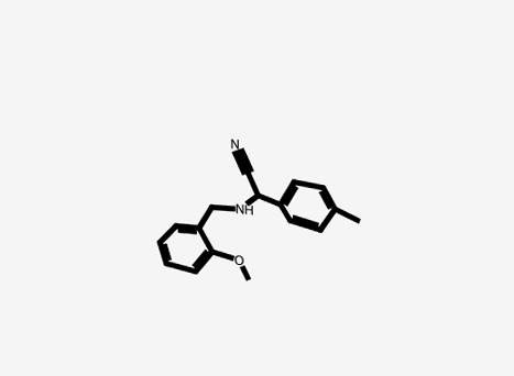 COc1ccccc1CNC(C#N)c1ccc(C)cc1